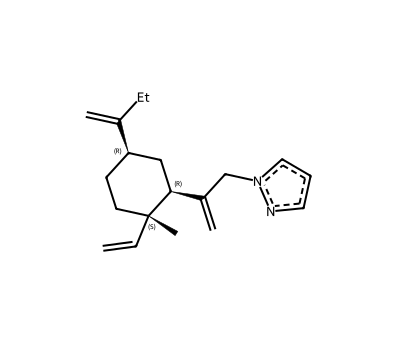 C=C[C@]1(C)CC[C@@H](C(=C)CC)C[C@H]1C(=C)Cn1cccn1